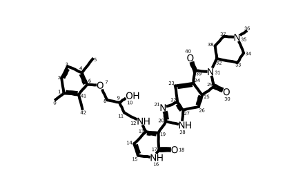 Cc1ccc(C)c(OCC(O)CNc2cc[nH]c(=O)c2-c2nc3cc4c(cc3[nH]2)C(=O)N(C2CCN(C)CC2)C4=O)c1C